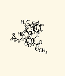 COC(=O)C(O)C(Cc1ccccc1)NC(=O)C(CC1CC1)NC(=O)OC(C)(C)C